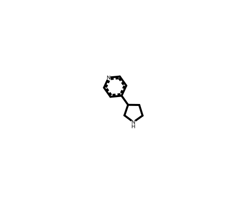 c1cc(C2CCNC2)ccn1